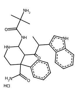 CC(C(=O)C1C(NC(=O)C(C)(C)N)NCCC1(C(N)=O)c1ccccc1)c1c[nH]c2ccccc12.Cl